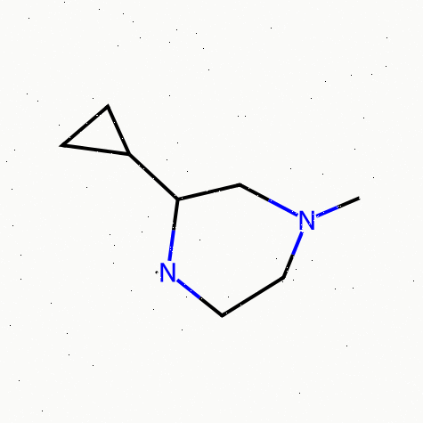 CN1CC[N]C(C2CC2)C1